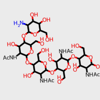 CC(=O)NC1C(O)OC(CO)C(OC2OC(CO)C(OC3OC(CO)C(OC4OC(CO)C(OC5OC(CO)C(O)C(O)C5N)C(O)C4NC(C)=O)C(O)C3NC(C)=O)C(O)C2NC(C)=O)C1O